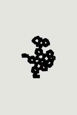 Cc1cc2c3c(c1)N(c1cccc4oc5ccccc5c14)c1cc(N4c5ccccc5C5(C)CCCCC45C)ccc1B3c1cc(C(C)(C)C)ccc1N2c1ccc(C(C)(C)C)cc1-c1ccccc1